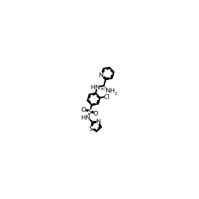 N[C@H](Nc1ccc(S(=O)(=O)Nc2nccs2)cc1Cl)c1ccccn1